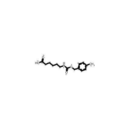 Cc1ccc(COC(=O)NCCCCCC(=O)O)cc1